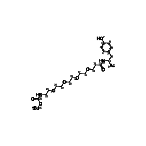 CC(=O)C(Cc1ccc(O)cc1)NC(=O)CCOCCOCCOCCOCCNC(=O)OC(C)(C)C